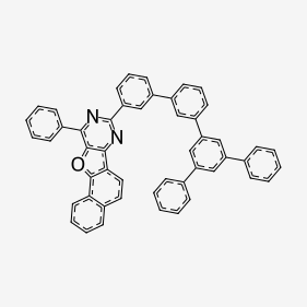 c1ccc(-c2cc(-c3ccccc3)cc(-c3cccc(-c4cccc(-c5nc(-c6ccccc6)c6oc7c8ccccc8ccc7c6n5)c4)c3)c2)cc1